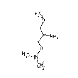 C=CCC(N)CON(C)C